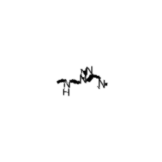 CCNCCn1cc(CN(C)C)nn1